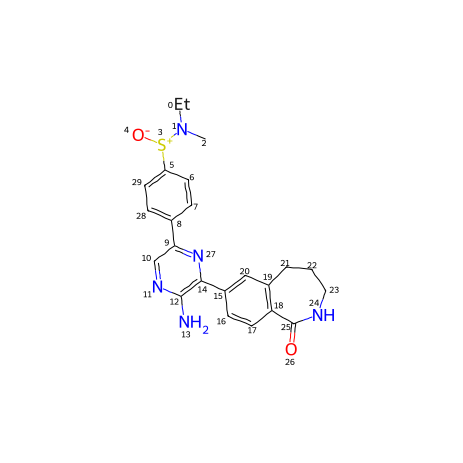 CCN(C)[S+]([O-])c1ccc(-c2cnc(N)c(-c3ccc4c(c3)CCCNC4=O)n2)cc1